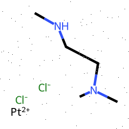 CNCCN(C)C.[Cl-].[Cl-].[Pt+2]